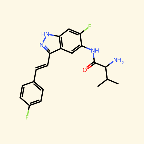 CC(C)C(N)C(=O)Nc1cc2c(C=Cc3ccc(F)cc3)n[nH]c2cc1F